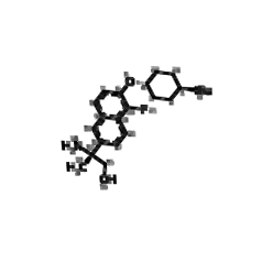 CC(C)(C)[C@H]1CC[C@H](Oc2ccc3cc([C@@](C)(N)CO)ccc3c2F)CC1